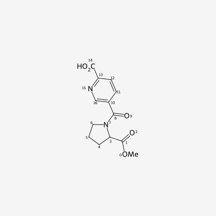 COC(=O)C1CCCN1C(=O)c1ccc(C(=O)O)nc1